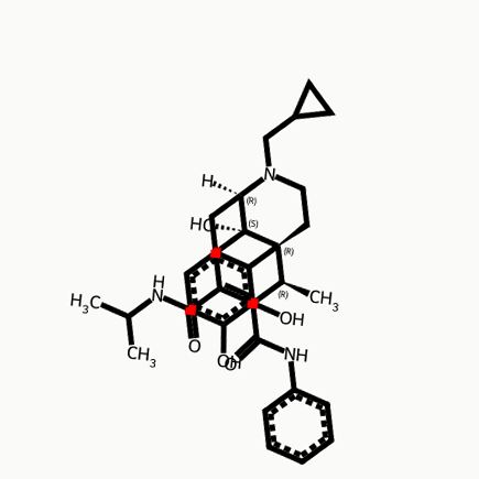 CC(C)NC(=O)C1=C(C(=O)Nc2ccccc2)[C@H](C)[C@]23CCN(CC4CC4)[C@H](Cc4ccc(O)c(O)c42)[C@]3(O)C1